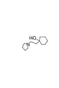 OC1(CCN2CCCC2)CCCCC1